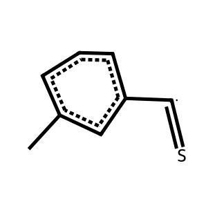 Cc1cccc([C]=S)c1